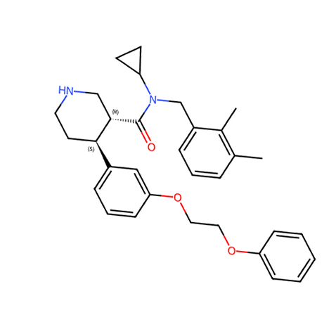 Cc1cccc(CN(C(=O)[C@H]2CNCC[C@@H]2c2cccc(OCCOc3ccccc3)c2)C2CC2)c1C